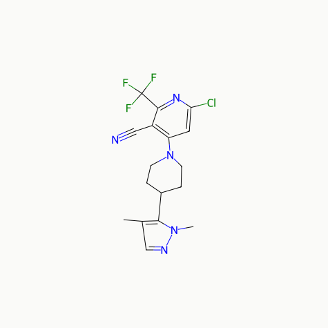 Cc1cnn(C)c1C1CCN(c2cc(Cl)nc(C(F)(F)F)c2C#N)CC1